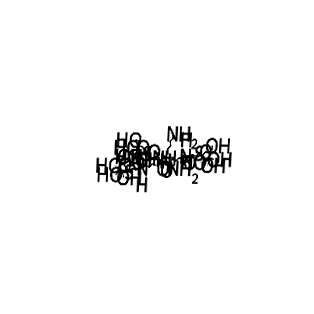 NCCCCCCN(C(=O)[C@H](CCCCNC(=O)CCS[C@H]1O[C@H](CO)[C@@H](O)[C@H](O)[C@@H]1O)NC(=O)CCS[C@H]1O[C@H](CO)[C@@H](O)[C@H](O)[C@@H]1O)[C@@H](CCCCNC(=O)CCS[C@H]1O[C@H](CO)[C@@H](O)[C@H](O)[C@@H]1O)C(N)=O